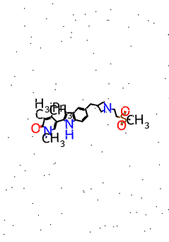 Cc1c(-c2[nH]c3ccc(CC4CN(CCS(C)(=O)=O)C4)cc3c2C(C)C)cn(C)c(=O)c1C